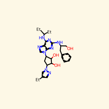 CCc1cnn(C2CC(n3cnc4c(NC(CC)CC)nc(NC(CO)Cc5ccccc5)nc43)C(O)C2O)c1